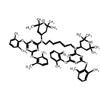 Cc1cccc(C)c1Oc1nc(Oc2c(C)cccc2C)nc(N(CCCCCCN(c2nc(Oc3c(C)cccc3C)nc(Oc3c(C)cccc3C)n2)C2CC(C)(C)NC(C)(C)C2)C2CC(C)(C)NC(C)(C)C2)n1